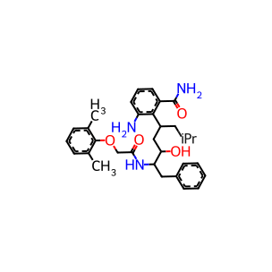 Cc1cccc(C)c1OCC(=O)NC(Cc1ccccc1)C(O)CC(CC(C)C)c1c(N)cccc1C(N)=O